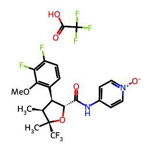 COc1c([C@H]2[C@H](C(=O)Nc3cc[n+]([O-])cc3)O[C@@](C)(C(F)(F)F)[C@H]2C)ccc(F)c1F.O=C(O)C(F)(F)F